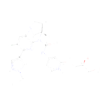 CCn1cc(-c2nc3c(cc2Cl)N2CC[C@@H](C2)N3C(=O)Nc2ccnc(OC[C@@H](O)CO)c2)cn1